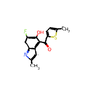 CC1=[C]C2=C(C(=O)c3ccc(C)s3)C(O)=C(F)CC2=N1